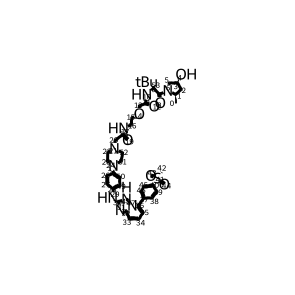 C[C@@H]1C[C@@H](O)CN1C(=O)[C@@H](NC(=O)COCCNC(=O)CN1CCN(c2ccc(NC3N=C4C=CC=C(c5ccc(S(C)(=O)=O)cc5)N4N3)cc2)CC1)C(C)(C)C